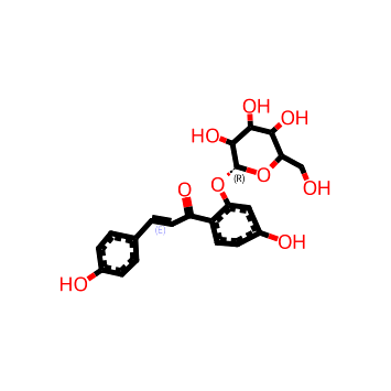 O=C(/C=C/c1ccc(O)cc1)c1ccc(O)cc1O[C@H]1OC(CO)C(O)C(O)C1O